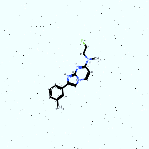 Cc1cccc(-c2cn3ccc(N(C)CCF)nc3n2)c1